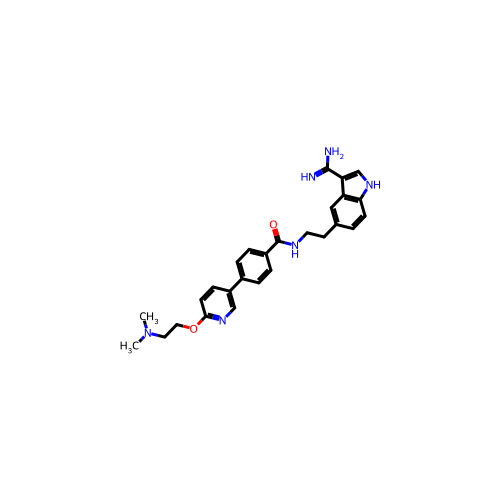 CN(C)CCOc1ccc(-c2ccc(C(=O)NCCc3ccc4[nH]cc(C(=N)N)c4c3)cc2)cn1